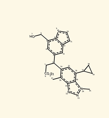 CCOC(=O)CC(c1cc(CO)c2sccc2c1)c1cc(C2CC2)c2c(nnn2C)c1C